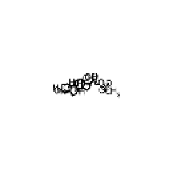 C[C@]12CCC(=O)C=C1CC[C@@H]1[C@@H]2CC[C@@]2(C)[C@H]1CC[C@]2(O)C(=O)COS(C)(=O)=O